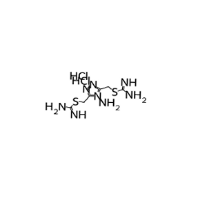 Cl.Cl.N=C(N)SCc1nnc(CSC(=N)N)n1N